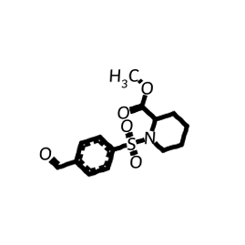 COC(=O)C1CCCCN1S(=O)(=O)c1ccc(C=O)cc1